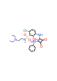 CCN(CC)CCN(C)S(=O)(=O)c1c(Cl)ccc(Nc2c(Nc3ccccc3)c(=O)c2=O)c1O